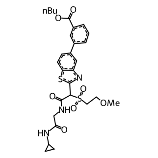 CCCCOC(=O)c1cccc(-c2ccc3sc(C(C(=O)NCC(=O)NC4CC4)S(=O)(=O)CCOC)nc3c2)c1